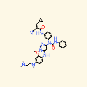 COc1cc(N(C)CCN(C)C)ccc1Nc1cc(N(C(=O)Nc2ccccc2)c2cccc(NC(=O)/C(C#N)=C\C3CC3)c2)ncn1